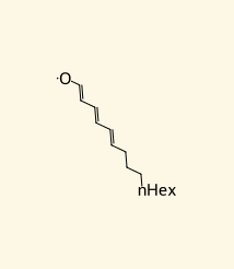 CCCCCCCCC/C=C/C=C/C=C/[O]